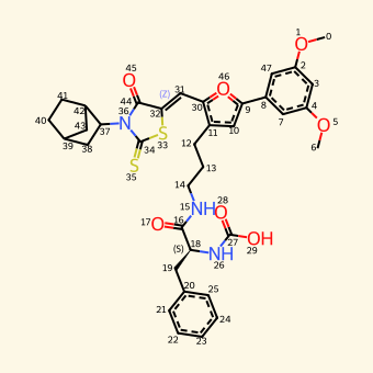 COc1cc(OC)cc(-c2cc(CCCNC(=O)[C@H](Cc3ccccc3)NC(=O)O)c(/C=C3\SC(=S)N(C4CC5CCC4C5)C3=O)o2)c1